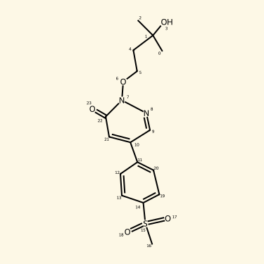 CC(C)(O)CCOn1ncc(-c2ccc(S(C)(=O)=O)cc2)cc1=O